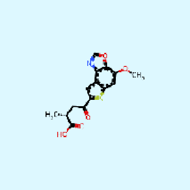 COc1cc2sc(C(=O)C[C@@H](C)C(=O)O)cc2c2ncoc12